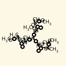 CCOc1c(CON(CC)c2ccc(OC)cc2)cc2ccccc2c1N=Nc1ccc(N(c2ccc(N=Nc3c(OCC)c(CON(CC)c4ccc(OC)cc4)cc4ccccc34)cc2)c2ccc(N=Nc3c(OCC)c(C(=O)N(CC)c4ccc(OC)cc4)cc4ccccc34)cc2)cc1